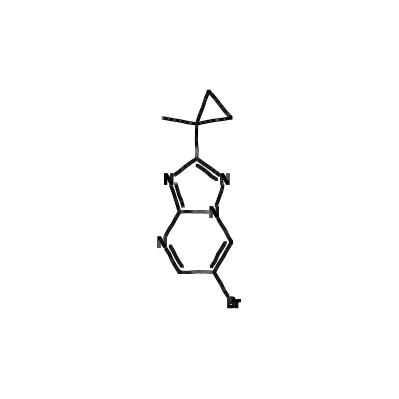 CC1(c2nc3ncc(Br)cn3n2)CC1